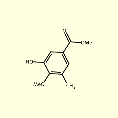 COC(=O)c1cc(C)c(OC)c(O)c1